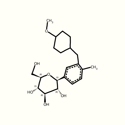 COC1CCC(Cc2cc([C@@H]3O[C@H](CO)[C@@H](O)[C@H](O)[C@H]3O)ccc2C)CC1